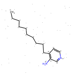 CCCCCCCCCCc1ccncc1N